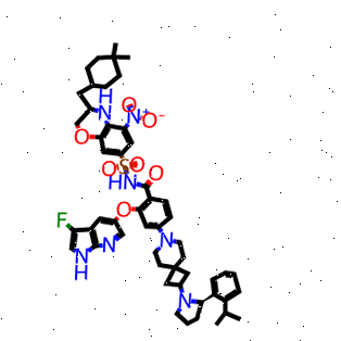 CC(C)c1ccccc1[C@H]1CCCN1C1CC2(CCN(c3ccc(C(=O)NS(=O)(=O)c4cc5c(c([N+](=O)[O-])c4)NC(CC4CCC(C)(C)CC4)CO5)c(Oc4cnc5[nH]cc(F)c5c4)c3)CC2)C1